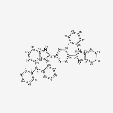 c1ccc(N2c3ccccc3-n3c(-c4ccc(-c5nc6ccccc6n5-c5ccccc5)cc4)nc4cccc2c43)cc1